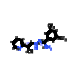 N#C/C(=C\N/N=C(\N)c1cc(C(F)(F)F)cc(C(F)(F)F)c1)c1ccccn1